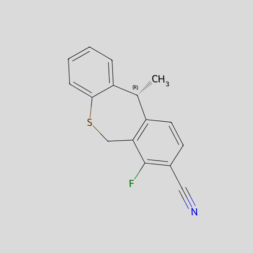 C[C@H]1c2ccccc2SCc2c1ccc(C#N)c2F